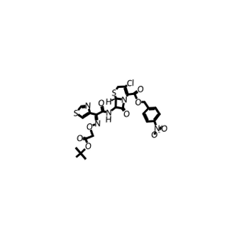 CC(C)(C)OC(=O)CON=C(C(=O)NC1C(=O)N2C(C(=O)OCc3ccc([N+](=O)[O-])cc3)=C(Cl)CS[C@@H]12)c1cscn1